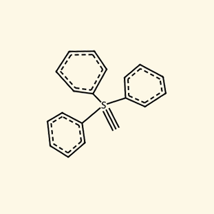 C#S(c1ccccc1)(c1ccccc1)c1ccccc1